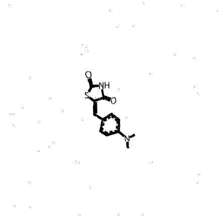 CN(C)c1ccc(C=C2SC(=O)NC2=O)cc1